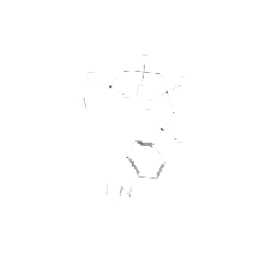 CC(F)(F)CC(F)(F)CC(F)(F)CC(F)(F)c1ccc(N)cc1